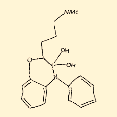 CNCCCC1Oc2ccccc2N(c2ccccc2)S1(O)O